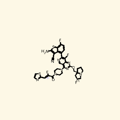 N#Cc1c(N)sc2c(F)ccc(-c3ncc4c(N5CCN(C(=O)/C(F)=C/c6nccs6)CC5)nc(OC[C@@]56CCCN5C[C@H](F)C6)nc4c3F)c12